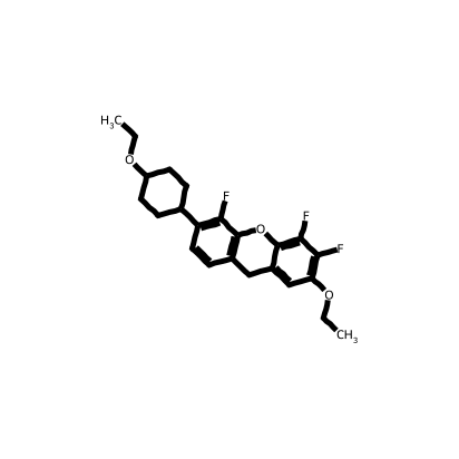 CCOc1cc2c(c(F)c1F)Oc1c(ccc(C3CCC(OCC)CC3)c1F)C2